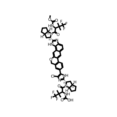 COC(=O)NC(C(=O)N1[C@H](c2nc3ccc4cc5c(cc4c3[nH]2)OCc2cc(-c3[nH]c([C@@H]4C[C@@H]6CCC[C@@H]6N4C(=O)C(NC(=O)O)C(C)(C)C(F)(F)F)nc3Cl)ccc2-5)C[C@@H]2CCC[C@@H]21)C(C)(C)C(F)(F)F